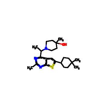 Cc1nc(C(C)N2CCC(C)(O)CC2)c2cc(C3CCC(C)(C)CC3)sc2n1